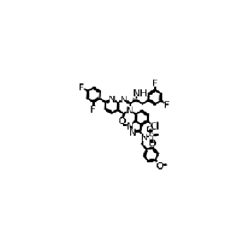 COc1ccc(CN(c2nn(C)c3c(-n4c([C@@H](N)Cc5cc(F)cc(F)c5)nc5nc(-c6ccc(F)cc6F)ccc5c4=O)ccc(Cl)c23)S(C)(=O)=O)cc1